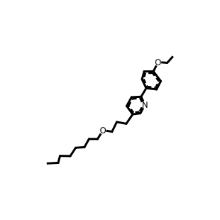 CCCCCCCCOCCCc1ccc(-c2ccc(OCC)cc2)nc1